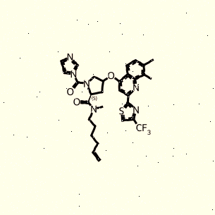 C=CCCCCN(C)C(=O)[C@@H]1CC(Oc2cc(-c3nc(C(F)(F)F)cs3)nc3c(C)c(C)ccc23)CN1C(=O)n1ccnc1